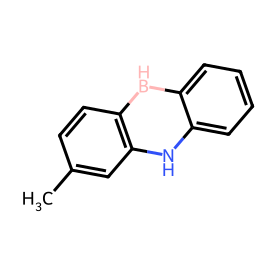 Cc1ccc2c(c1)Nc1ccccc1B2